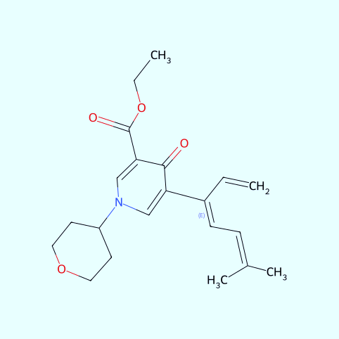 C=C/C(=C\C=C(C)C)c1cn(C2CCOCC2)cc(C(=O)OCC)c1=O